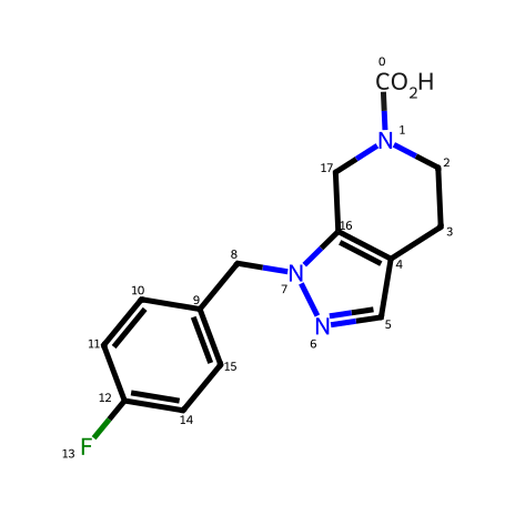 O=C(O)N1CCc2cnn(Cc3ccc(F)cc3)c2C1